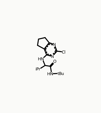 CC(C)C(Nc1nc(Cl)nc2c1CCC2)C(=O)NC(C)(C)C